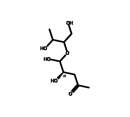 CC(=O)C[C@@H](O)C(O)OC(CO)C(C)O